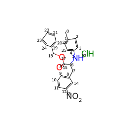 Cc1ccc(NC(Cc2cccc([N+](=O)[O-])c2)C(=O)OCc2ccccc2)cc1.Cl